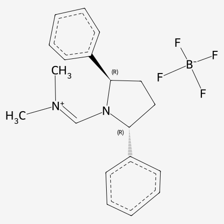 C[N+](C)=CN1[C@@H](c2ccccc2)CC[C@@H]1c1ccccc1.F[B-](F)(F)F